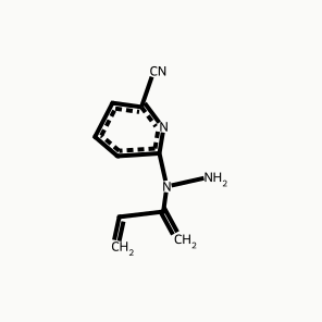 C=CC(=C)N(N)c1cccc(C#N)n1